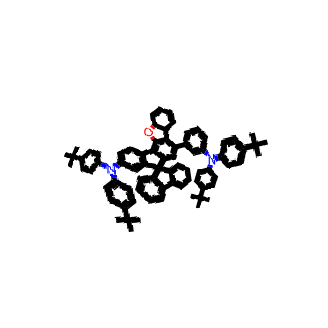 CC(C)(C)c1ccc(N(c2ccc(C(C)(C)C)cc2)c2cccc(-c3cc4c(c5c3C3C=CC=CC3O5)-c3ccc(N(c5ccc(C(C)(C)C)cc5)c5ccc(C(C)(C)C)cc5)cc3C43c4ccccc4-c4ccccc43)c2)cc1